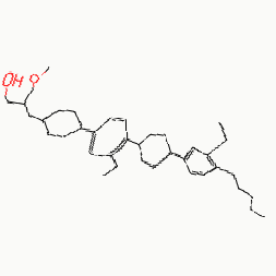 CCCCCc1ccc(C2CCC(c3ccc(C4CCC(CC(CO)COC)CC4)cc3CC)CC2)cc1CC